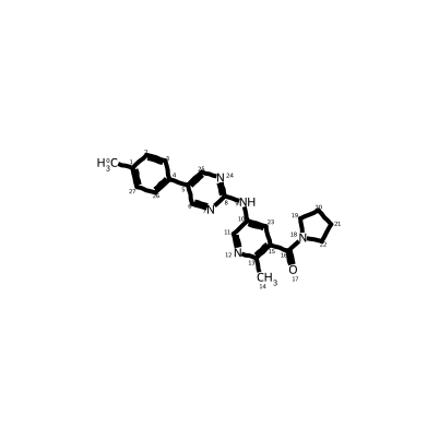 Cc1ccc(-c2cnc(Nc3cnc(C)c(C(=O)N4CCCC4)c3)nc2)cc1